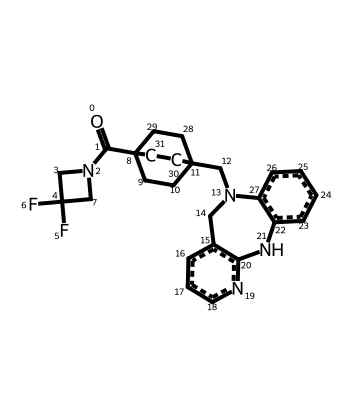 O=C(N1CC(F)(F)C1)C12CCC(CN3Cc4cccnc4Nc4ccccc43)(CC1)CC2